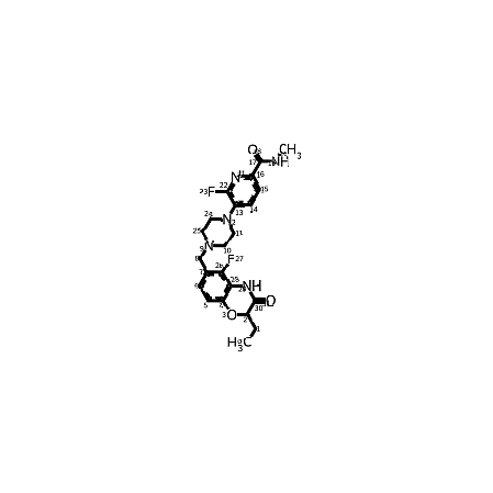 CCC1Oc2ccc(CN3CCN(c4ccc(C(=O)NC)nc4F)CC3)c(F)c2NC1=O